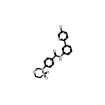 O=C(Nc1cccc(-c2ccc(Cl)cn2)c1)c1ccc(N2COCCS2(=O)=O)cc1